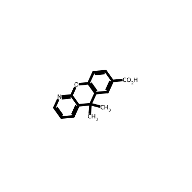 CC1(C)c2cc(C(=O)O)ccc2Oc2ncccc21